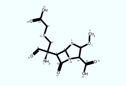 COC1SC2C([C@](N)(C=O)CSCC(=O)O)C(=O)N2C1C(=O)O